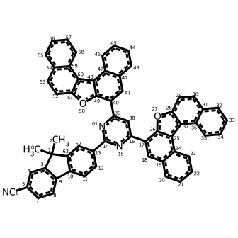 CC1(C)c2cc(C#N)ccc2-c2ccc(-c3nc(-c4cc5ccccc5c5c4oc4ccc6ccccc6c45)cc(-c4cc5ccccc5c5c4oc4ccc6ccccc6c45)n3)cc21